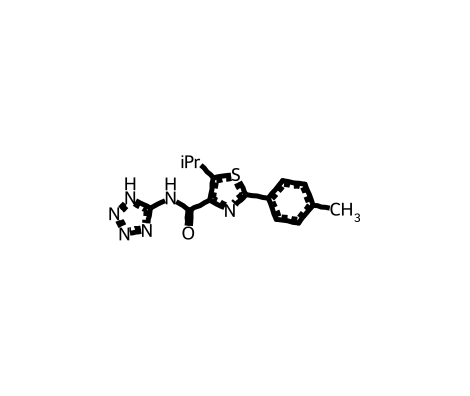 Cc1ccc(-c2nc(C(=O)Nc3nnn[nH]3)c(C(C)C)s2)cc1